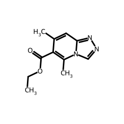 CCOC(=O)c1c(C)cc2nncn2c1C